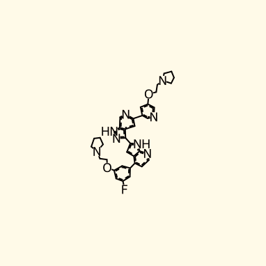 Fc1cc(OCCN2CCCC2)cc(-c2ccnc3[nH]c(-c4n[nH]c5cnc(-c6cncc(OCCN7CCCC7)c6)cc45)cc23)c1